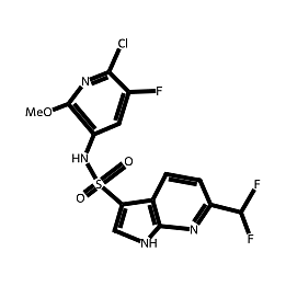 COc1nc(Cl)c(F)cc1NS(=O)(=O)c1c[nH]c2nc(C(F)F)ccc12